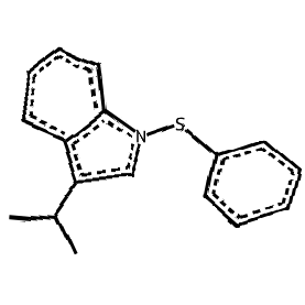 CC(C)c1cn(Sc2ccccc2)c2ccccc12